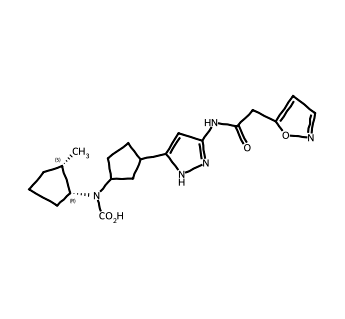 C[C@H]1CCC[C@H]1N(C(=O)O)C1CCC(c2cc(NC(=O)Cc3ccno3)n[nH]2)C1